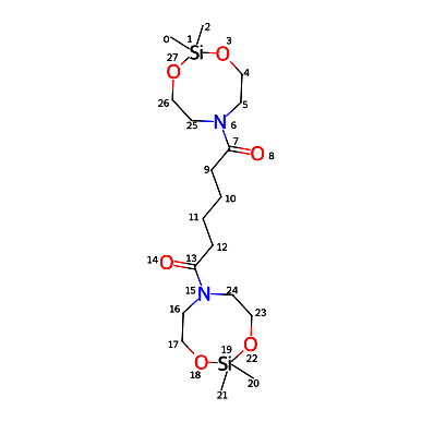 C[Si]1(C)OCCN(C(=O)CCCCC(=O)N2CCO[Si](C)(C)OCC2)CCO1